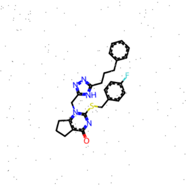 O=c1nc(SCc2ccc(F)cc2)n(Cc2nnc(CCCc3ccccc3)[nH]2)c2c1CCC2